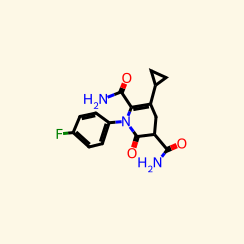 NC(=O)C1=C(C2CC2)CC(C(N)=O)C(=O)N1c1ccc(F)cc1